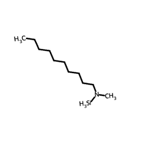 CCCCCCCCCCN(C)[SiH3]